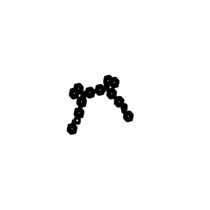 c1ccc(COc2ccc(-c3ccc(N(c4ccc(-c5ccc(N(c6ccc(-c7ccc(OCc8ccccc8)cc7)cc6)c6cccc7ccccc67)cc5)cc4)c4cccc5ccccc45)cc3)cc2)cc1